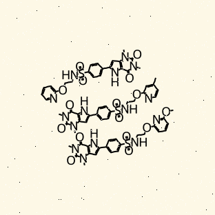 COc1cccc(OCCNS(=O)(=O)c2ccc(-c3cc4c([nH]3)c(=O)n(C)c(=O)n4C)cc2)n1.Cc1ccnc(OCCNS(=O)(=O)c2ccc(-c3cc4c([nH]3)c(=O)n(C)c(=O)n4C)cc2)c1.Cn1c(=O)c2[nH]c(-c3ccc(S(=O)(=O)NCCOc4ccccn4)cc3)cc2n(C)c1=O